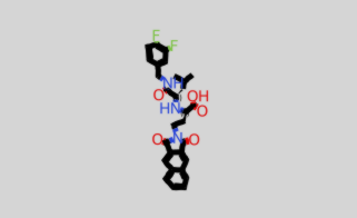 CC(C)C[C@H](N[C@H](CCN1C(=O)c2cc3ccccc3cc2C1=O)C(=O)O)C(=O)NCc1ccc(F)c(F)c1